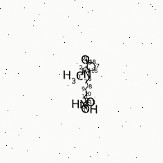 Cc1cc2c(n1CCCCCCC(=O)NO)CCCC2=O